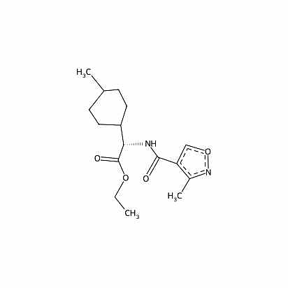 CCOC(=O)[C@@H](NC(=O)c1conc1C)C1CCC(C)CC1